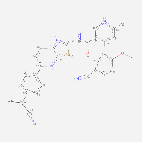 COc1ccc(C#N)cc1-c1cc(C)ncc1C(=O)Nc1nc2ccc(-c3ccc([C@H](C)C#N)cc3)nc2s1